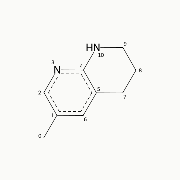 Cc1cnc2c(c1)CCCN2